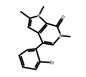 CCc1ccccc1-c1cn(C)c(=O)c2c1cc(C)n2C